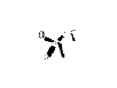 CCCC.CS([O])(=O)=O